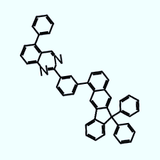 c1ccc(-c2cccc3nc(-c4cccc(-c5cccc6cc7c(cc56)-c5ccccc5C7(c5ccccc5)c5ccccc5)c4)ncc23)cc1